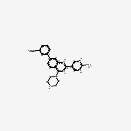 CC(=O)Nc1cccc(-c2ccc3c(N4CCOCC4)nc(-c4cnc(N)nc4)nc3c2)c1